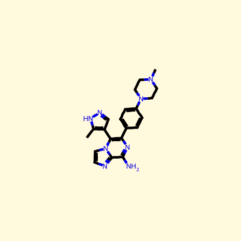 Cc1[nH]ncc1-c1c(-c2ccc(N3CCN(C)CC3)cc2)nc(N)c2nccn12